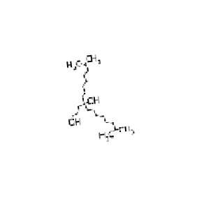 CC(C)CCCCCCC(O)(CCCO)CCCCCCC(C)C